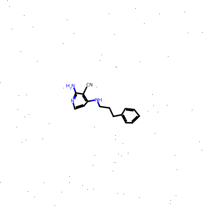 N#Cc1c(NCCCc2ccccc2)ccnc1N